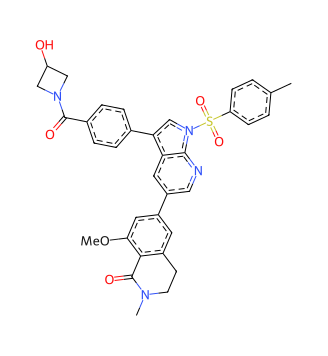 COc1cc(-c2cnc3c(c2)c(-c2ccc(C(=O)N4CC(O)C4)cc2)cn3S(=O)(=O)c2ccc(C)cc2)cc2c1C(=O)N(C)CC2